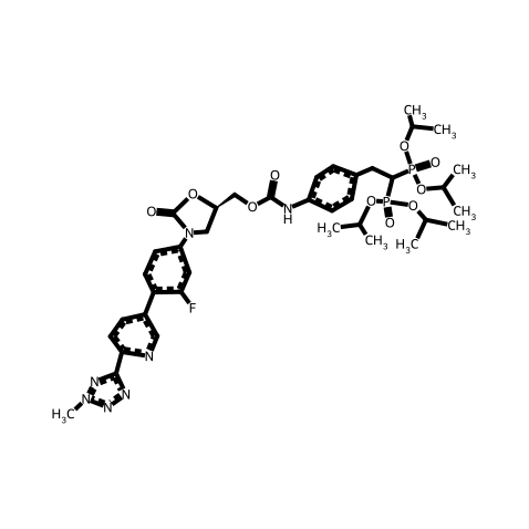 CC(C)OP(=O)(OC(C)C)C(Cc1ccc(NC(=O)OC[C@H]2CN(c3ccc(-c4ccc(-c5nnn(C)n5)nc4)c(F)c3)C(=O)O2)cc1)P(=O)(OC(C)C)OC(C)C